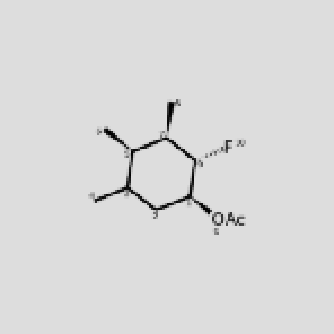 CC(=O)O[C@H]1CC(C)[C@@H](C)[C@@H](C)[C@@H]1F